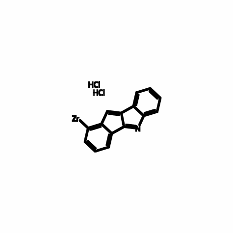 Cl.Cl.[Zr][c]1cccc2c1C=C1C2=Nc2ccccc21